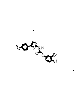 COc1ccc(-c2cnc(NC(=O)COc3ccc(Cl)c(Br)c3)s2)cc1